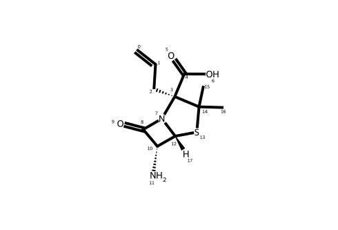 C=CC[C@@]1(C(=O)O)N2C(=O)[C@@H](N)[C@H]2SC1(C)C